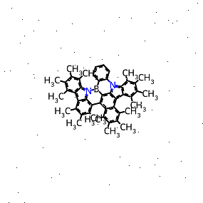 Cc1c(C)c(C)c2c(c1C)c1c3c4c2c2c(C)c(C)c(C)c(C)c2n4-c2ccccc2B3n2c3c(C)c(C)c(C)c(C)c3c3c(C)c(C)c(C)c-1c32